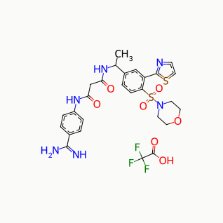 CC(NC(=O)CC(=O)Nc1ccc(C(=N)N)cc1)c1ccc(S(=O)(=O)N2CCOCC2)c(-c2nccs2)c1.O=C(O)C(F)(F)F